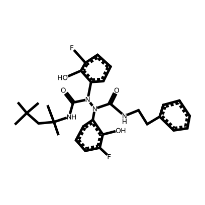 CC(C)(C)CC(C)(C)NC(=O)N(c1cccc(F)c1O)N(C(=O)NCCc1ccccc1)c1cccc(F)c1O